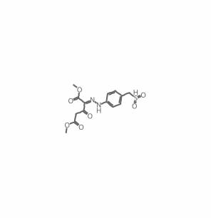 COC(=O)CC(=O)/C(=N\Nc1ccc(C[SH](=O)=O)cc1)C(=O)OC